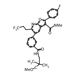 CNC(=O)c1c(-c2ccc(F)cc2)oc2nc(CCC(F)(F)F)c(-c3cccc(C(=O)NCC(C)(C)COC)c3)cc12